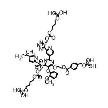 COc1ccccc1Oc1c(OCCOC(=O)c2ccc(CON(O)O)cc2)nc(-c2ccnc(-c3nnnn3COC(=O)OCCCCON(O)O)c2)nc1N(COC(=O)OCCCCON(O)O)S(=O)(=O)c1ccc(C(C)C)cn1